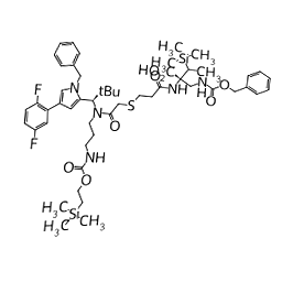 CC([C@](CNC(=O)OCc1ccccc1)(NC(=O)CCSCC(=O)N(CCCNC(=O)OCC[Si](C)(C)C)[C@@H](c1cc(-c2cc(F)ccc2F)cn1Cc1ccccc1)C(C)(C)C)C(=O)O)[Si](C)(C)C